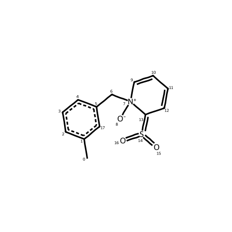 Cc1cccc(C[N+]2([O-])C=CC=CC2=S(=O)=O)c1